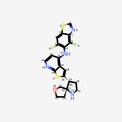 Fc1cc2scnc2c(F)c1Nc1ccnc2sc([C@@H]3CCN[C@@]34CCOC4)cc12